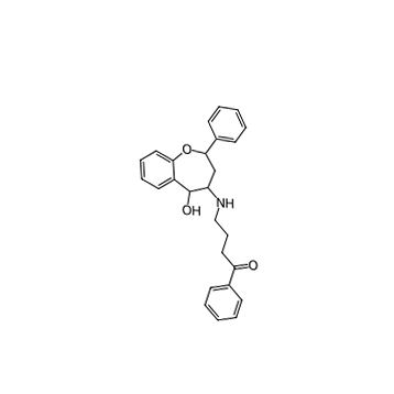 O=C(CCCNC1CC(c2ccccc2)Oc2ccccc2C1O)c1ccccc1